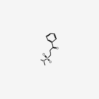 CN(C)S(=O)(=O)CCC(=O)c1ccccc1